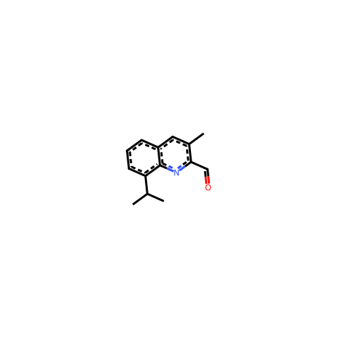 Cc1cc2cccc(C(C)C)c2nc1C=O